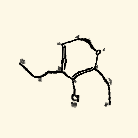 CCC1=CCOC(CC)=C1Cl